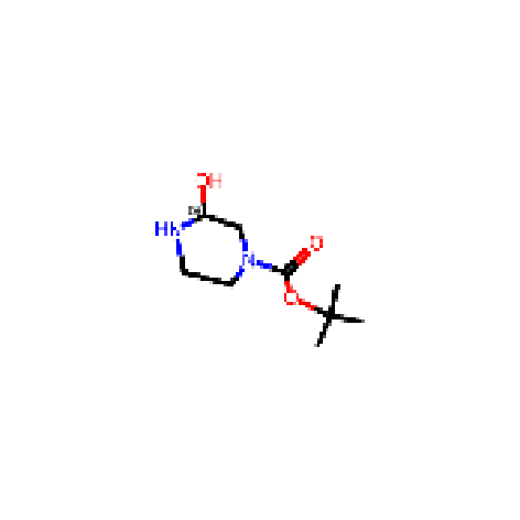 CC(C)(C)OC(=O)N1CCN[C@@H](O)C1